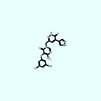 N#Cc1cc(Cl)cc(Oc2c(C(F)(F)F)ncn(Cc3cc(-c4cn[nH]c4)c(=O)[nH]n3)c2=O)c1